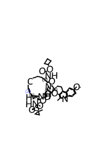 COc1ccc2nc(C)c3c(c2c1)CC[C@]1(C[C@H]2C(=O)N[C@]4(C(=O)NS(=O)(=O)C5(C)CC5)C[C@H]4/C=C\CCCCC[C@H](NC(=O)OC4CCC4)C(=O)N2C1)O3